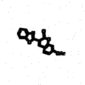 CC(=O)Oc1ccc2cc(-c3nc4ccccc4o3)c(=O)oc2c1